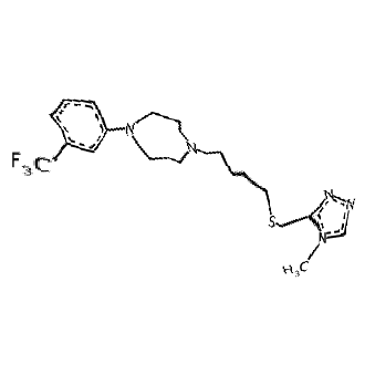 Cn1cnnc1SCCCN1CCN(c2cccc(C(F)(F)F)c2)CC1